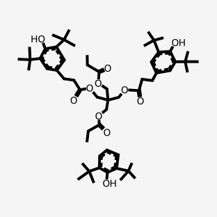 CC(C)(C)c1cccc(C(C)(C)C)c1O.CCC(=O)OCC(COC(=O)CC)(COC(=O)CCc1cc(C(C)(C)C)c(O)c(C(C)(C)C)c1)COC(=O)CCc1cc(C(C)(C)C)c(O)c(C(C)(C)C)c1